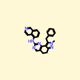 Cn1nc2c(c1Cc1ccccc1)-c1nc(Nc3cccc4cnccc34)ncc1CC2